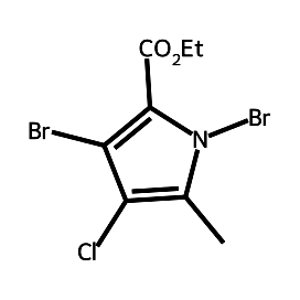 CCOC(=O)c1c(Br)c(Cl)c(C)n1Br